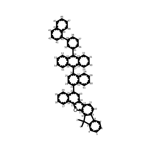 CC1(C)c2ccccc2-c2ccc3c(oc4c5ccccc5c(-c5ccc(-c6c7ccccc7c(-c7cccc(-c8cccc9ccccc89)c7)c7ccccc67)c6ccccc56)cc34)c21